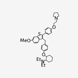 CCN(CC)C1CCCCC1Oc1ccc(Cc2c(-c3ccc(OCCN4CCCC4)cc3)sc3cc(OC)ccc23)cc1